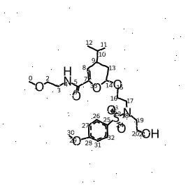 COCCNC(=O)C1=CC(C(C)C)CC(OCCN(CCO)S(=O)(=O)c2ccc(OC)cc2)O1